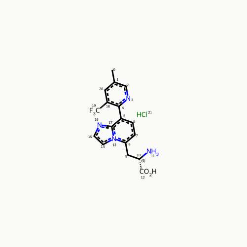 Cc1cnc(-c2ccc(C[C@H](N)C(=O)O)n3ccnc23)c(C(F)(F)F)c1.Cl